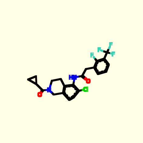 O=C(Cc1cccc(C(F)(F)F)c1F)Nc1c(Cl)ccc2c1CCN(C(=O)C1CC1)C2